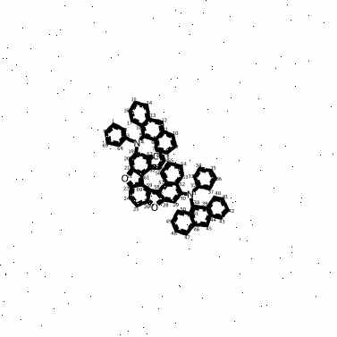 c1ccc(N(c2c3ccccc3cc3ccccc23)c2cc3oc4ccc5oc6cc(N(c7ccccc7)c7c8ccccc8cc8ccccc78)c7ccccc7c6c5c4c3c3ccccc23)cc1